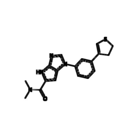 CN(C)C(=O)c1cc2c(ncn2-c2cccc(C3=CSCC3)c2)[nH]1